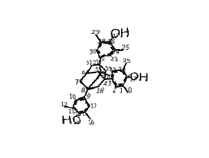 Cc1cc(C23CC4CC(c5cc(C)c(O)c(C)c5)(C2)C(C)C(c2cc(C)c(O)c(C)c2)(C4)C3)cc(C)c1O